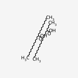 CCCCCCCCCCCCCCC(CCCCCCCCCCCC)C(=O)O.CCCCCCCCCCCCCCCCCCC(CCCCC)C(=O)O